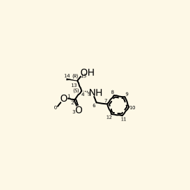 COC(=O)[C@@H](NCc1ccccc1)[C@@H](C)O